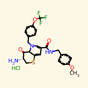 COc1ccc(CNC(=O)C2=CN(Cc3ccc(OC(F)(F)F)cc3)C3C(=O)[C@@H](N)CSC3=C2)cc1.Cl